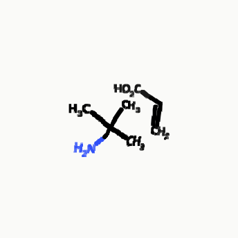 C=CC(=O)O.CC(C)(C)N